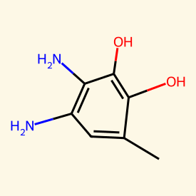 Cc1cc(N)c(N)c(O)c1O